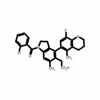 Cc1cc2c(c(-c3cc(F)c4c(c3C)CCCO4)c1CC(=O)O)CCN2C(=O)c1ccccc1Cl